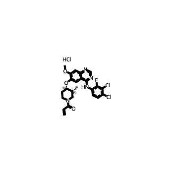 C=CC(=O)N1CC[C@H](Oc2cc3c(Nc4ccc(Cl)c(Cl)c4F)ncnc3cc2OC)[C@H](F)C1.Cl